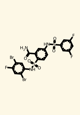 NC(=O)c1cc(NS(=O)(=O)c2cc(F)cc(F)c2)ccc1S(=O)(=O)Nc1cc(Br)c(F)cc1Br